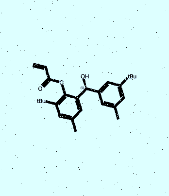 C=CC(=O)Oc1c([C@@H](O)c2cc(C)cc(C(C)(C)C)c2)cc(C)cc1C(C)(C)C